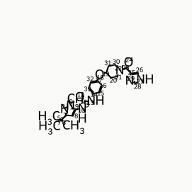 Cn1nc(C(C)(C)C)cc1NC(=O)Nc1ccc(OC2CCN(C(=O)c3c[nH]cn3)CC2)cc1